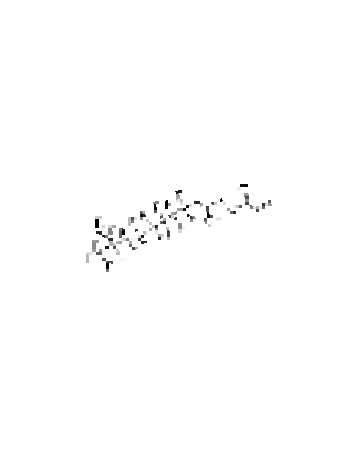 C=CC(=O)OCC(O)CC(F)(F)C(F)(F)C(F)(F)C(F)(F)C(F)(F)C(F)(F)C(F)(C(F)(F)F)C(F)(F)F